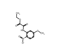 CCOC(=O)C(=O)Nc1cc(OC)ccc1[N+](=O)[O-]